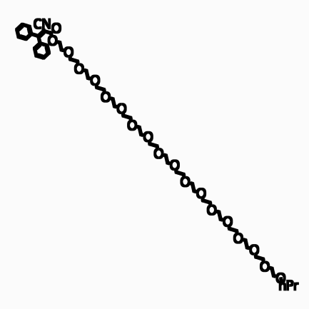 CCCOCCOCCOCCOCCOCCOCCOCCOCCOCCOCCOCCOCCOCCOCCOCCOCCOCCOC(=O)C(C#N)=C(c1ccccc1)c1ccccc1